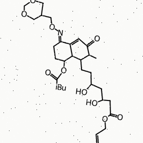 C=CCOC(=O)CC(O)CC(O)CCC1C(C)C(=O)C=C2C(=NOCC3COCOC3)CCC(OC(=O)C(C)CC)C21